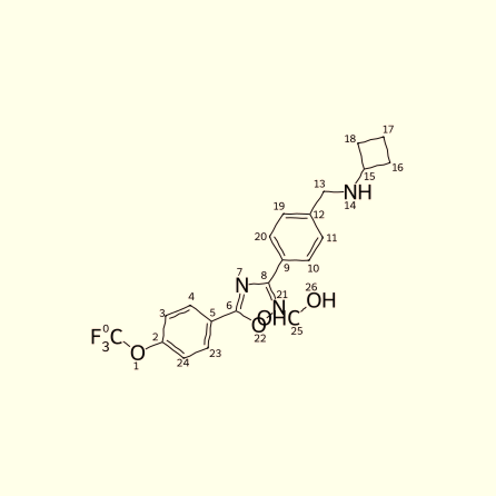 FC(F)(F)Oc1ccc(-c2nc(-c3ccc(CNC4CCC4)cc3)no2)cc1.O=CO